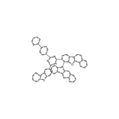 c1ccc(-c2ccc(-c3nc(-c4ccc5sc6ccccc6c5c4)nc(-c4ccc5c(oc6c7ccccc7ccc56)c4-n4c5ccccc5c5cc6ccccc6cc54)n3)cc2)cc1